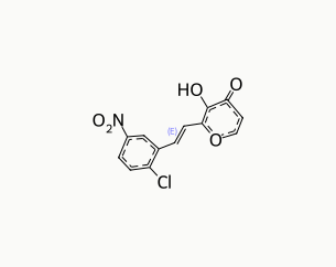 O=c1ccoc(/C=C/c2cc([N+](=O)[O-])ccc2Cl)c1O